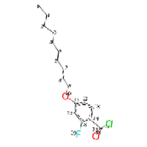 CCCCCCCCCCOc1ccc(C(=O)Cl)c(F)c1